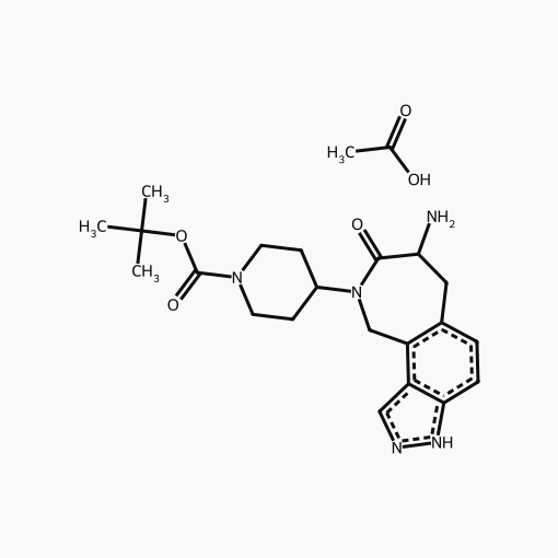 CC(=O)O.CC(C)(C)OC(=O)N1CCC(N2Cc3c(ccc4[nH]ncc34)CC(N)C2=O)CC1